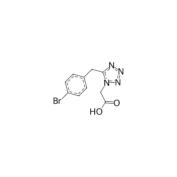 O=C(O)Cn1nnnc1Cc1ccc(Br)cc1